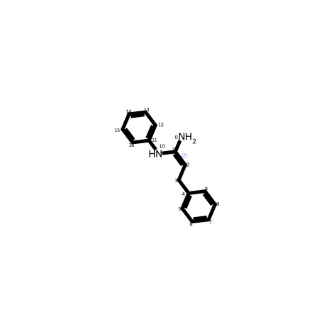 N/C(=C/Cc1ccccc1)Nc1ccccc1